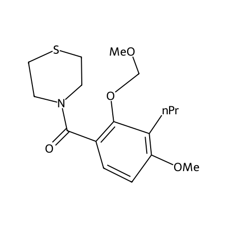 CCCc1c(OC)ccc(C(=O)N2CCSCC2)c1OCOC